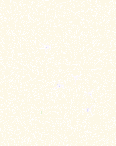 CCNC(=O)N1CCCN(c2ccc(C(=O)NC3Cc4ccccc4C3)cc2Nc2cccc(Cl)c2)CC1